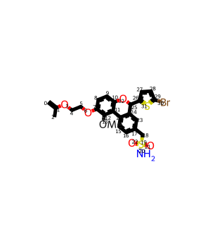 C=C(C)OCCOc1ccc2c(c1OC)-c1ccc(CS(N)(=O)=O)cc1C(c1ccc(Br)s1)O2